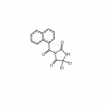 CCC1(CC)NC(=O)N(C(=O)c2cccc3ccccc23)C1=O